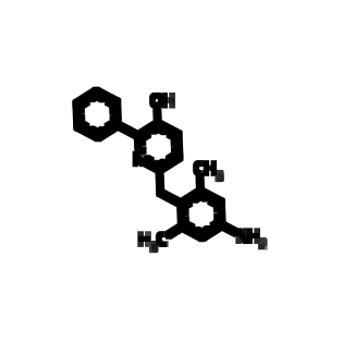 Cc1cc(N)cc(C)c1Cc1ccc(O)c(-c2ccccc2)n1